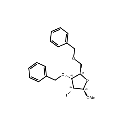 CO[C@@H]1O[C@H](COCc2ccccc2)[C@@H](OCc2ccccc2)[C@H]1F